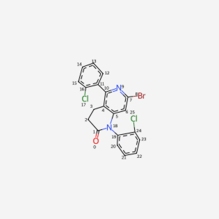 O=C1CCc2c(cc(Br)nc2-c2ccccc2Cl)N1c1ccccc1Cl